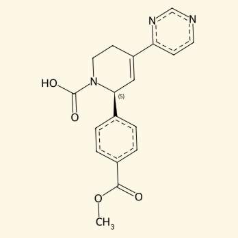 COC(=O)c1ccc([C@@H]2C=C(c3ccncn3)CCN2C(=O)O)cc1